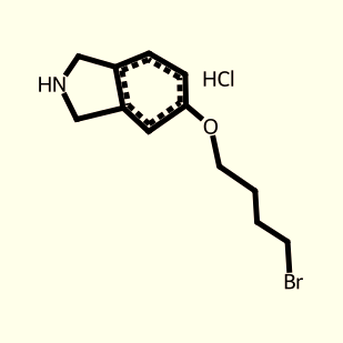 BrCCCCOc1ccc2c(c1)CNC2.Cl